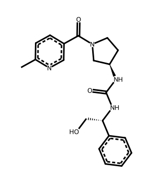 Cc1ccc(C(=O)N2CC[C@@H](NC(=O)N[C@@H](CO)c3ccccc3)C2)cn1